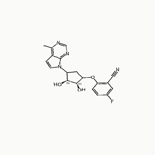 Cc1ncnc2c1ccn2C1CC(Oc2ccc(F)cc2C#N)[C@@H](O)[C@H]1O